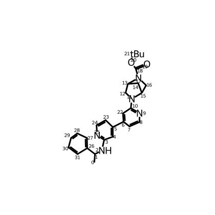 CC(Nc1cc(-c2ccnc(N3CC4CC3CN4C(=O)OC(C)(C)C)c2)ccn1)c1ccccc1